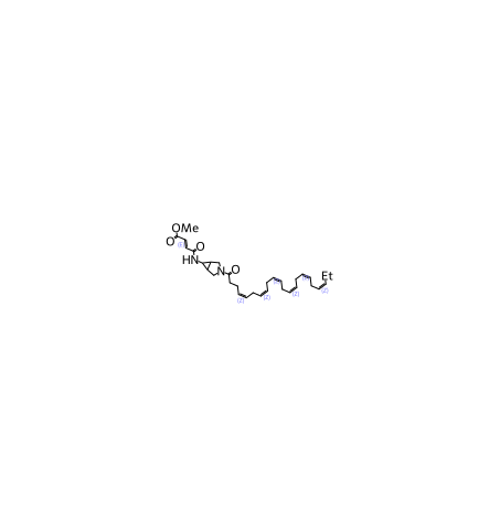 CC/C=C\C/C=C\C/C=C\C/C=C\C/C=C\C/C=C\CCC(=O)N1CC2C(C1)C2NC(=O)/C=C/C(=O)OC